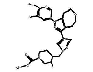 COc1ncc(-n2nc(-c3cnn(CC4CCN(C(=O)OC(C)(C)C)CC4F)c3)c3c2CCOCC3)cc1F